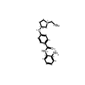 CC(C)(C)CN1CC[C@H](Oc2ccc(C(=O)Nc3ccccc3N)cc2)C1